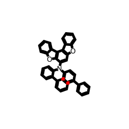 c1ccc(-c2ccc(N(c3ccccc3-c3ccccc3)c3cc4oc5ccccc5c4c4c3oc3ccccc34)cc2)cc1